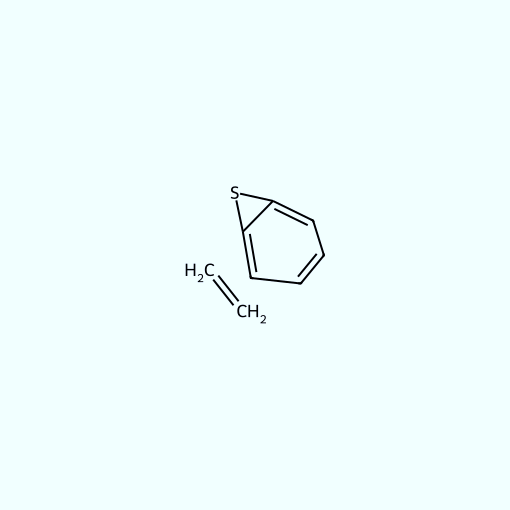 C=C.c1ccc2c(c1)S2